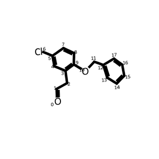 O=CCc1cc(Cl)ccc1OCc1ccccc1